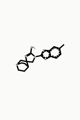 Cc1ccc2nc(N3CC4(CN5CCC4CC5)N=C3N)sc2c1